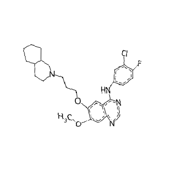 COc1cc2ncnc(Nc3ccc(F)c(Cl)c3)c2cc1OCCCN1CCC2CCCCC2C1